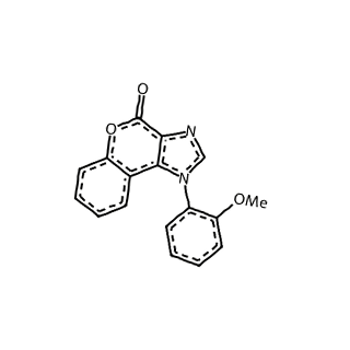 COc1ccccc1-n1cnc2c(=O)oc3ccccc3c21